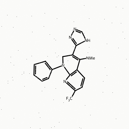 CNC1=C(c2nnc[nH]2)CN(c2ccccc2)c2nc(C(F)(F)F)ccc21